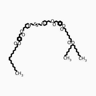 CCCCCCCC/C=C\CCCCCCCC(=O)Oc1ccc(CC(=O)OCCC2CCN(CCSSCCN3CCC(CCOC(=O)Cc4ccc(OC(=O)CCCCCCCC(=O)OC(CCCCCCCC)CCCCCCCC)cc4)CC3)CC2)cc1